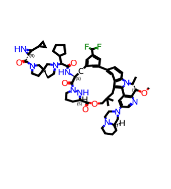 CCn1c(-c2cc(N3CCN4CCCC[C@@H]4C3)cnc2[C@H](C)OC)c2c3cc(ccc31)-c1cc(cc(C(F)F)c1)C[C@H](NC(=O)C(C1CCCC1)N1CC[C@]3(CCN(C(=O)[C@@H]4NC4C4CC4)C3)C1)C(=O)N1CCC[C@H](N1)C(=O)OCC(C)(C)C2